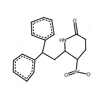 O=C1CCC([N+](=O)[O-])C(CC(c2ccccc2)c2ccccc2)N1